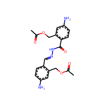 CC(=O)OCc1cc(N)ccc1/C=N/NC(=O)c1ccc(N)cc1COC(C)=O